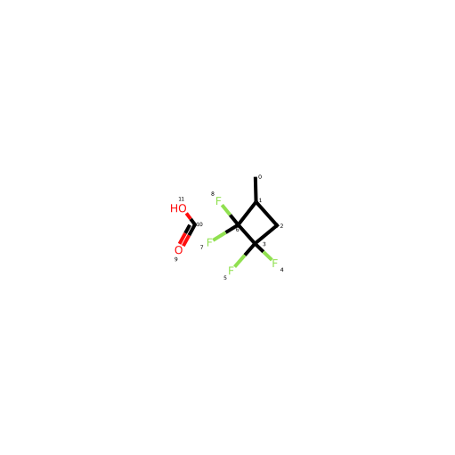 CC1CC(F)(F)C1(F)F.O=CO